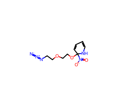 [N-]=[N+]=NCCOCCOC1([N+](=O)[O-])C=CC=CN1